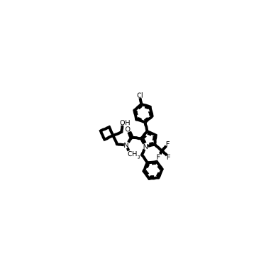 CN(CC1(CO)CCC1)C(=O)c1c(-c2ccc(Cl)cc2)cc(C(F)(F)F)n1Cc1ccccc1